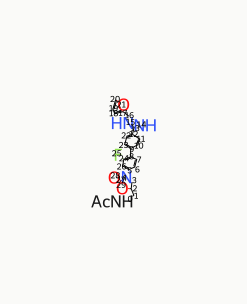 CC(=O)NCC1CN(c2ccc(-c3ccc(C(=N)NCc4ccco4)cc3)c(F)c2)C(=O)O1